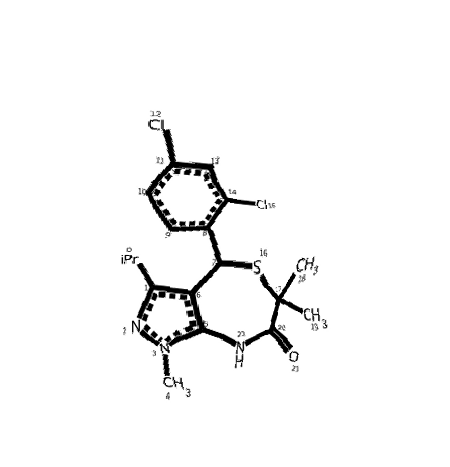 CC(C)c1nn(C)c2c1C(c1ccc(Cl)cc1Cl)SC(C)(C)C(=O)N2